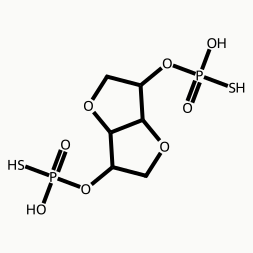 O=P(O)(S)OC1COC2C(OP(=O)(O)S)COC12